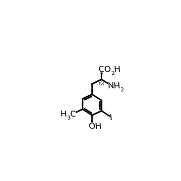 Cc1cc(C[C@H](N)C(=O)O)cc(I)c1O